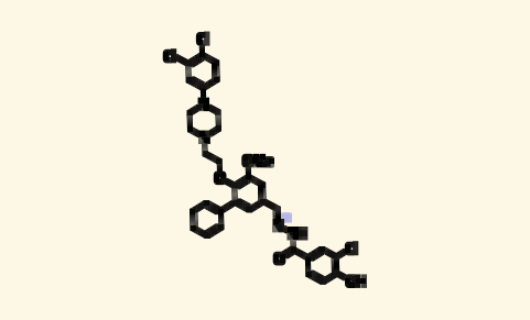 COc1cc(/C=N/NC(=O)c2ccc(O)c(Cl)c2)cc(-c2ccccc2)c1OCCN1CCN(c2ccc(Cl)c(Cl)c2)CC1